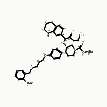 COc1ccccc1COCCCOc1ccc([C@H]2CCN(C(=O)OC(C)(C)C)C[C@@H]2OC(C(=O)CCO)c2ccc3c(c2)NCCC3)cc1